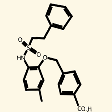 Cc1ccc(NS(=O)(=O)CCc2ccccc2)c(OCc2ccc(C(=O)O)cc2)c1